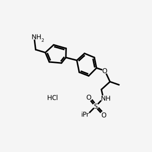 CC(CNS(=O)(=O)C(C)C)Oc1ccc(-c2ccc(CN)cc2)cc1.Cl